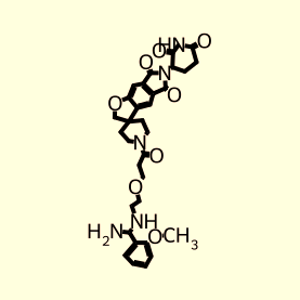 COc1ccccc1C(N)NCCOCCC(=O)N1CCC2(CC1)COc1cc3c(cc12)C(=O)N(C1CCC(=O)NC1=O)C3=O